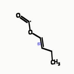 CC/C=C/O[C]=O